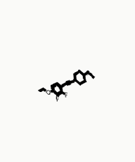 CCOc1ccc(C#CC2CCC(CC)CC2)c(F)c1F